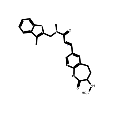 Cc1c(CN(C)C(=O)/C=C/c2cnc3c(c2)CCC(NC(=O)O)C(=O)N3)sc2ccccc12